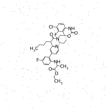 CCCCC(C(=O)N1CCC[C@@]2(C1)OC(=O)Nc1ccc(Cl)c(F)c12)c1cc(-c2cc(F)ccc2NC(C)C(=O)OCC)ccn1